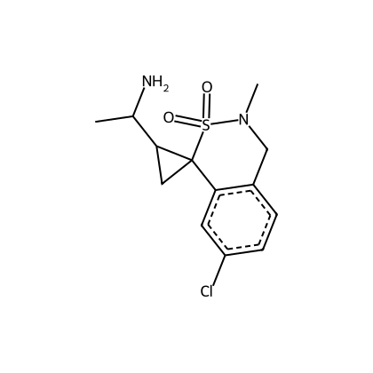 CC(N)C1CC12c1cc(Cl)ccc1CN(C)S2(=O)=O